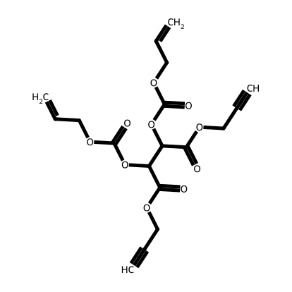 C#CCOC(=O)C(OC(=O)OCC=C)C(OC(=O)OCC=C)C(=O)OCC#C